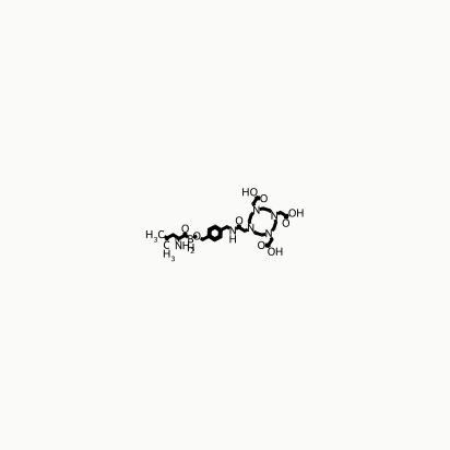 CC(C)C[C@@H](N)C(=O)BOCc1ccc(CNC(=O)CN2CCN(CC(=O)O)CCN(CC(=O)O)CCN(CC(=O)O)CC2)cc1